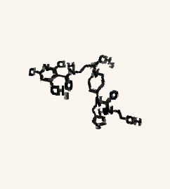 Cc1cc(Cl)nc(Cl)c1C(=O)NCC[C@@H](C)N1CCC(N(Cc2ccsc2)C(=O)NCCO)CC1